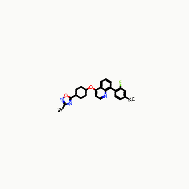 [C-]#[N+]c1ccc(-c2cccc3c(OC4CCC(c5nc(C(C)C)no5)CC4)ccnc23)c(F)c1